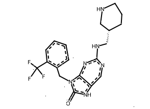 O=c1[nH]c2cnc(NC[C@H]3CCCNC3)nc2n1Cc1ccccc1C(F)(F)F